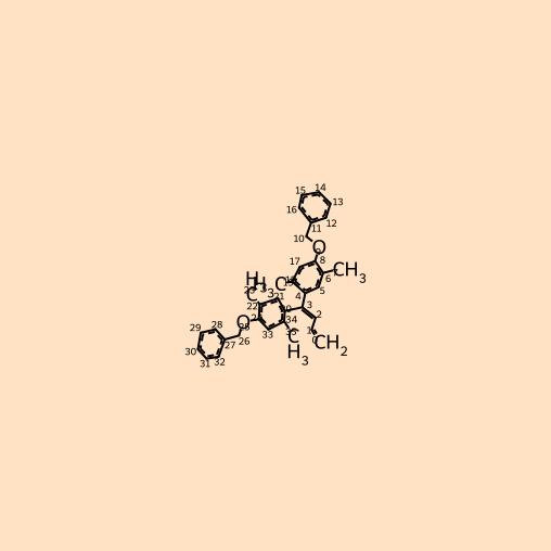 C=CC=C(c1cc(C)c(OCc2ccccc2)cc1C)c1cc(C)c(OCc2ccccc2)cc1C